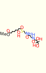 COC(=O)CCCC[C@@H](O)CC(=O)SCCNC(=O)CCNC(=O)[C@H](O)C(C)(C)CO